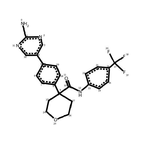 Nc1ncc(-c2ccc(C3(C(=O)Nc4ccc(C(F)(F)F)cc4)CCOCC3)cc2)cn1